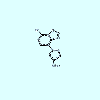 CCCCCCc1csc(-c2ccc(Br)c3nsnc23)c1